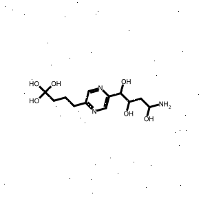 NC(O)CC(O)C(O)c1cnc(CCCC(O)(O)O)cn1